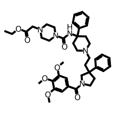 CCOC(=O)CN1CCN(C(=O)NC2(c3ccccc3)CCN(CCC3(c4ccccc4)CCN(C(=O)c4cc(OC)c(OC)c(OC)c4)C3)CC2)CC1